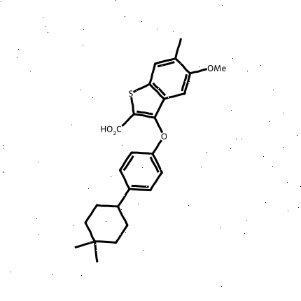 COc1cc2c(Oc3ccc(C4CCC(C)(C)CC4)cc3)c(C(=O)O)sc2cc1C